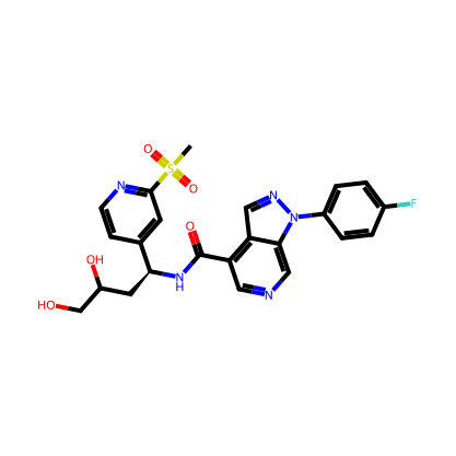 CS(=O)(=O)c1cc([C@H](CC(O)CO)NC(=O)c2cncc3c2cnn3-c2ccc(F)cc2)ccn1